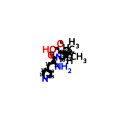 CC1(C)[C@@H]2[C@@H](C(=O)O)N(C(=O)[C@@H](N)Cc3ccncc3)C[C@@H]21